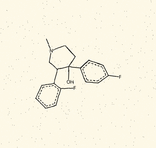 CN1CCC(O)(c2ccc(F)cc2)C(c2ccccc2F)C1